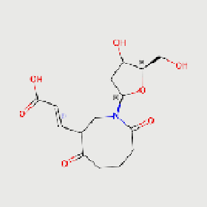 O=C(O)/C=C/C1CN([C@H]2CC(O)[C@@H](CO)O2)C(=O)CCCC1=O